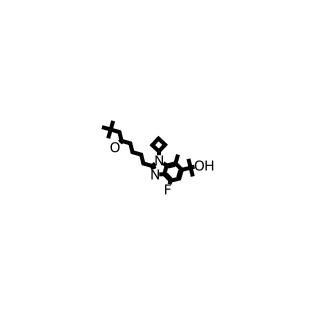 Cc1c(C(C)(C)O)cc(F)c2nc(CCCCC(=O)CC(C)(C)C)n(C3CCC3)c12